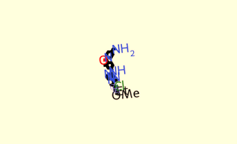 CC/C(=C\C(Cl)=C(/C)c1cnc2c(NC3=CCC(C(=O)N4CCC(CN)CC4)C(C)=C3)nccn12)OC